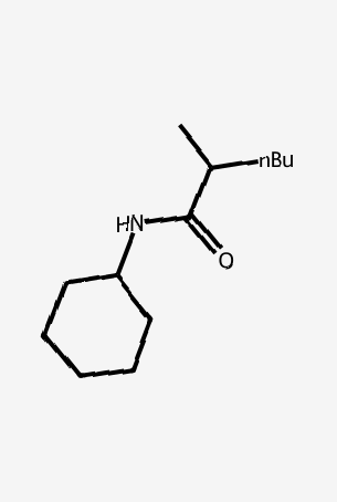 CCCCC(C)C(=O)NC1CCCCC1